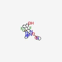 Oc1cc(-c2c(Cl)cc3c(N4CC5CCC(C4)N5)nc(OCCCN4C5CCCC4COC5)nc3c2F)c2c(C34CC(C3)C4)c(F)ccc2c1